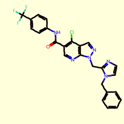 O=C(Nc1ccc(C(F)(F)F)cc1)c1cnc2c(cnn2Cc2nccn2Cc2ccccc2)c1Cl